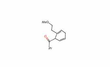 COCCC1=CCC=CC1C(=O)C(C)C